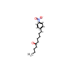 CCCCC(=O)CCCCCc1ccc([N+](=O)[O-])cc1